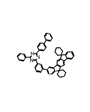 c1ccc(-c2ccc(-c3nc(-c4ccccc4)nc(-c4cccc(-c5ccc6c(c5)-c5cc7c(cc5C65CCCCC5)-c5ccccc5C75CCCCC5)c4)n3)cc2)cc1